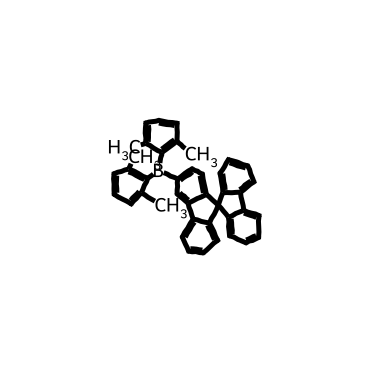 Cc1cccc(C)c1B(c1ccc2c(c1)-c1ccccc1C21c2ccccc2-c2ccccc21)c1c(C)cccc1C